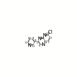 Clc1ccc2ncc(-c3cccnc3)nc2n1